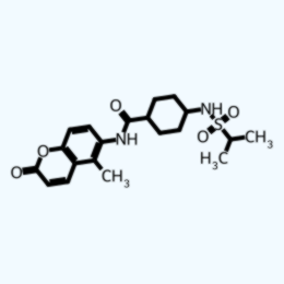 Cc1c(NC(=O)C2CCC(NS(=O)(=O)C(C)C)CC2)ccc2oc(=O)ccc12